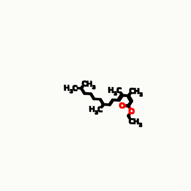 CCOC(=O)C=C(C)C(C)=CCCC(C)CCCCC(C)C